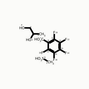 CC(O)CO.CS(=O)(=O)O.O=C(O)c1c(F)c(F)c(F)c(F)c1F